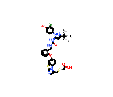 CC(C)(C)c1cc(NC(=O)NCc2ccccc2Oc2ccc3c(c2)sc2ncc(CSCC(=O)O)n23)n(-c2ccc(O)c(Cl)c2)n1